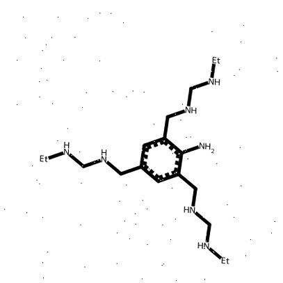 CCNCNCc1cc(CNCNCC)c(N)c(CNCNCC)c1